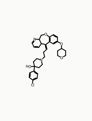 OC1(c2ccc(Cl)cc2)CCN(CC/C=C2/c3cc(OC4CCOCC4)ccc3OCC3N=CC=CC23)CC1